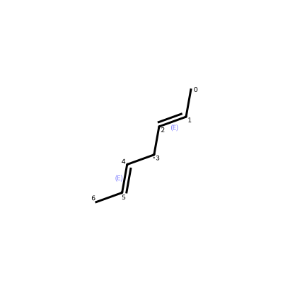 C/C=C/[CH]/C=C/C